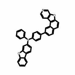 c1ccc(N(c2ccc(-c3ccc4ccc5oc6cnccc6c5c4c3)cc2)c2ccc3c(c2)oc2ccccc23)cc1